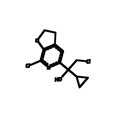 OC(CCl)(c1cc2c(c(Cl)n1)OCC2)C1CC1